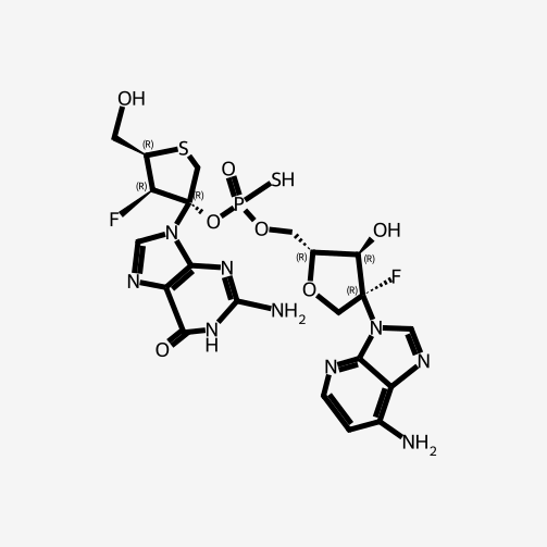 Nc1nc2c(ncn2[C@]2(OP(=O)(S)OC[C@H]3OC[C@](F)(n4cnc5c(N)ccnc54)[C@@H]3O)CS[C@H](CO)[C@@H]2F)c(=O)[nH]1